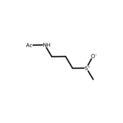 CC(=O)NCCC[S+](C)[O-]